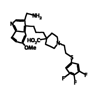 COc1ccc2ncc(CN)c(CCCC3(C(=O)O)CCN(CCSc4cc(F)c(F)c(F)c4)CC3)c2c1